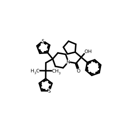 CC(C)(CC1(c2ccsc2)CCN(C(=O)C(O)(c2ccccc2)C2CCCC2)CC1)c1ccsc1